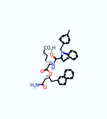 Cc1ccc(Cn2c(C(=O)N[C@@H](CCCC(=O)O)C(=O)O[C@H](CC(N)=O)Cc3ccc4ccccc4c3)cc3ccccc32)cc1